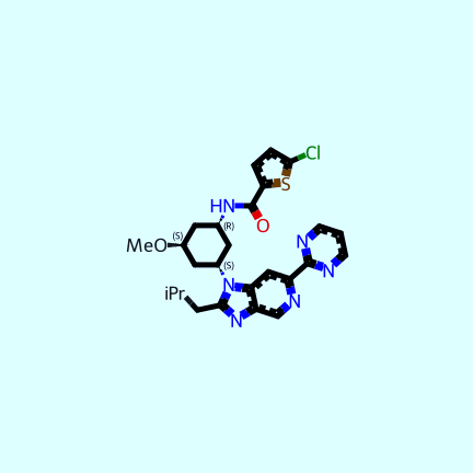 CO[C@H]1C[C@H](NC(=O)c2ccc(Cl)s2)C[C@H](n2c(CC(C)C)nc3cnc(-c4ncccn4)cc32)C1